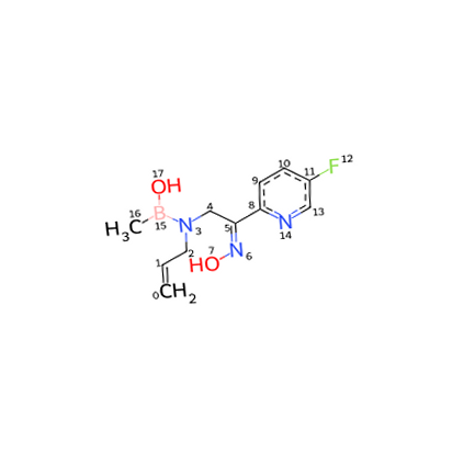 C=CCN(CC(=NO)c1ccc(F)cn1)B(C)O